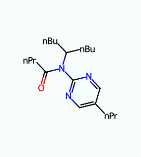 CCCCC(CCCC)N(C(=O)CCC)c1ncc(CCC)cn1